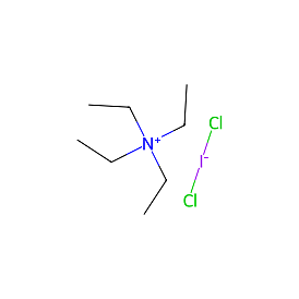 CC[N+](CC)(CC)CC.Cl[I-]Cl